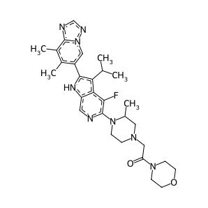 Cc1c(-c2[nH]c3cnc(N4CCN(CC(=O)N5CCOCC5)CC4C)c(F)c3c2C(C)C)cn2ncnc2c1C